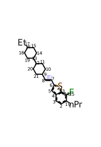 CCCc1ccc2cc(/C=C/C3CCC(C4CCC(CC)CC4)CC3)sc2c1F